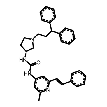 Cc1cc(NC(=O)N[C@H]2CCN(CCC(c3ccccc3)c3ccccc3)C2)cc(/C=C/c2ccccc2)n1